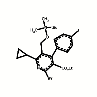 CCOC(=O)c1c(C(C)C)nc(C2CC2)c(CO[Si](C)(C)C(C)(C)C)c1-c1ccc(F)cc1